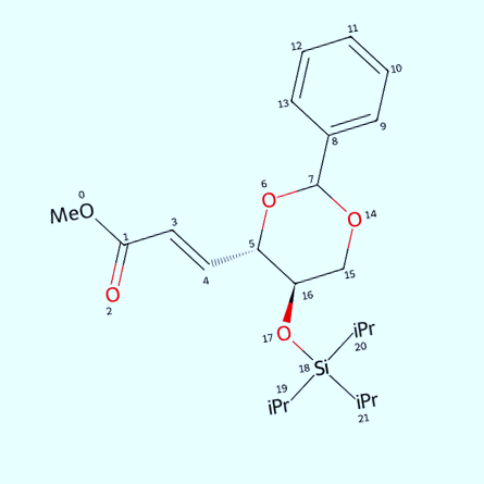 COC(=O)/C=C/[C@@H]1OC(c2ccccc2)OC[C@H]1O[Si](C(C)C)(C(C)C)C(C)C